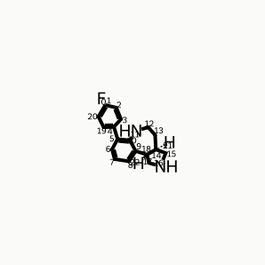 Fc1ccc(-c2cccc3c2NCC[C@H]2CNC[C@H]32)cc1